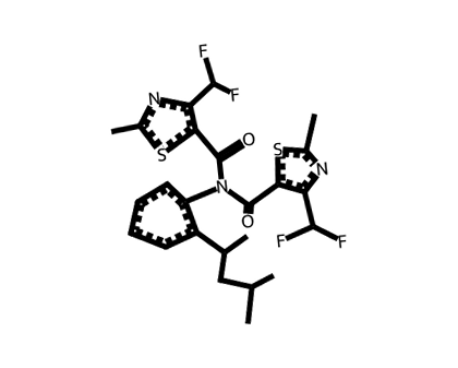 Cc1nc(C(F)F)c(C(=O)N(C(=O)c2sc(C)nc2C(F)F)c2ccccc2C(C)CC(C)C)s1